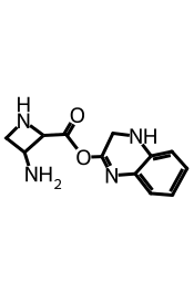 NC1CNC1C(=O)OC1=Nc2ccccc2NC1